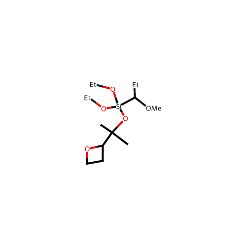 CCO[Si](OCC)(OC(C)(C)C1CCO1)C(CC)OC